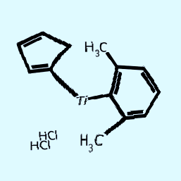 Cc1cccc(C)[c]1[Ti][C]1=CC=CC1.Cl.Cl